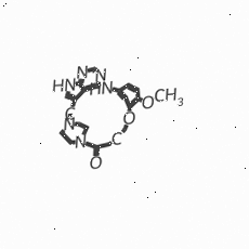 COc1ccc2cc1OCCCC(=O)N1CCN(CC1)Cc1c[nH]c3ncnc(c13)N2